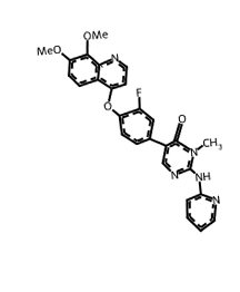 COc1ccc2c(Oc3ccc(-c4cnc(Nc5ccccn5)n(C)c4=O)cc3F)ccnc2c1OC